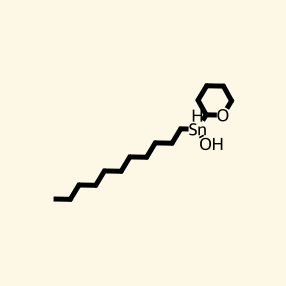 CCCCCCCCCC[CH2][SnH]([OH])[CH]1CCCCO1